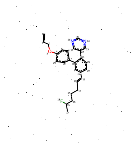 C=CCOc1ccc(-c2cc(C=CCCCC(C)F)ccc2-c2cncnc2)cc1